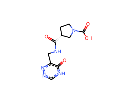 O=C(NCc1nnc[nH]c1=O)[C@@H]1CCN(C(=O)O)C1